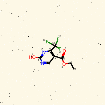 CCOC(=O)c1cnc(O)nc1C(F)(F)F